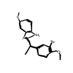 COc1ccc2[nH]c(C(C)c3ccc(OC)c(Br)c3)nc2c1